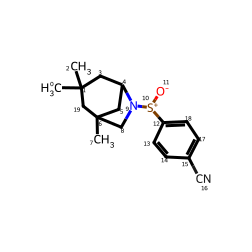 CC1(C)CC2CC(C)(CN2[S+]([O-])c2ccc(C#N)cc2)C1